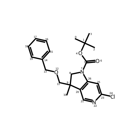 CC(C)(C)OC(=O)N1CC(C)(COCc2ccccc2)c2cnc(Cl)cc21